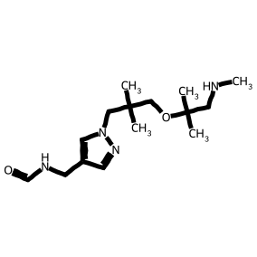 CNCC(C)(C)OCC(C)(C)Cn1cc(CNC=O)cn1